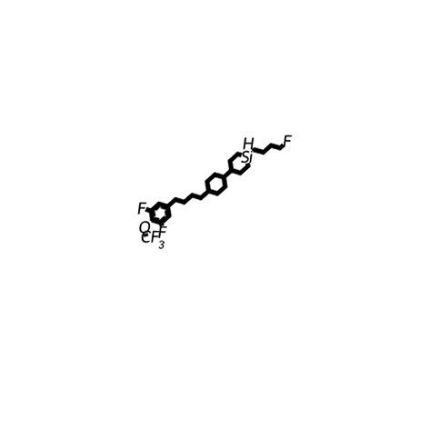 FCCCC[SiH]1CCC(C2CCC(CCCCc3cc(F)c(OC(F)(F)F)c(F)c3)CC2)CC1